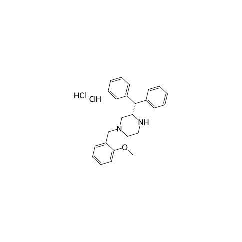 COc1ccccc1CN1CCN[C@@H](C(c2ccccc2)c2ccccc2)C1.Cl.Cl